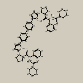 O=C(N[C@@H](C(=O)N1CCC[C@H]1c1ncc(-c2ccc(-c3ccc(-c4cnc([C@@H]5CCCN5C(=O)[C@H](NC(=O)C5CCCCC5)c5ccccc5)s4)cc3)cc2)s1)c1ccccc1)C1CCCCC1